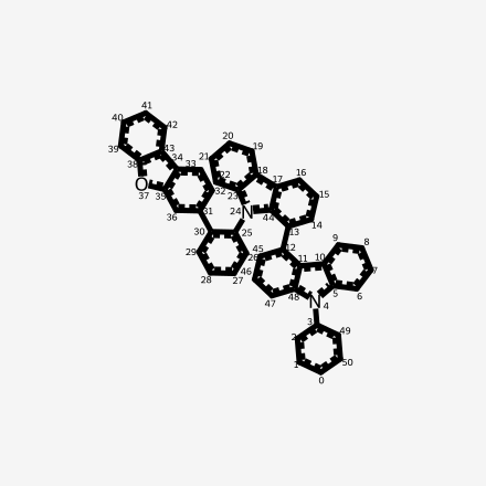 c1ccc(-n2c3ccccc3c3c(-c4cccc5c6ccccc6n(-c6ccccc6-c6ccc7c(c6)oc6ccccc67)c45)cccc32)cc1